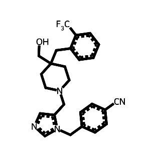 N#Cc1ccc(Cn2cncc2CN2CCC(CO)(Cc3ccccc3C(F)(F)F)CC2)cc1